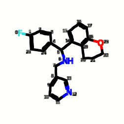 Fc1ccc(C(NCc2cccnc2)c2cccc3c2CCCO3)cc1